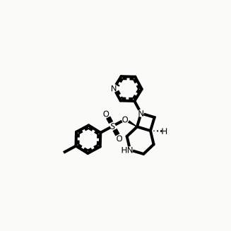 Cc1ccc(S(=O)(=O)O[C@]23CNCC[C@@H]2CN3c2cccnc2)cc1